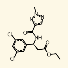 CCOC(=O)C[C@H](NC(=O)c1cnn(C)n1)c1cc(Cl)cc(Cl)c1